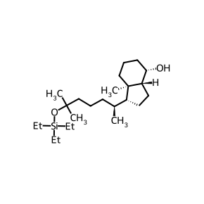 CC[Si](CC)(CC)OC(C)(C)CCC[C@H](C)[C@H]1CC[C@H]2[C@@H](O)CCC[C@]12C